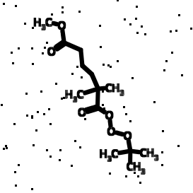 COC(=O)CCCC(C)(C)C(=O)OOOC(C)(C)C